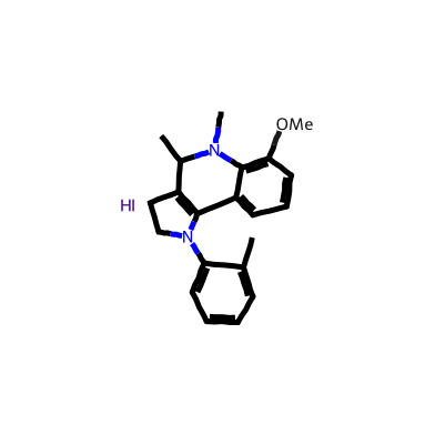 COc1cccc2c1N(C)C(C)C1=C2N(c2ccccc2C)CC1.I